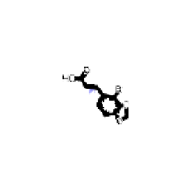 O=C(O)/C=C/c1ccc2c(c1Br)OCO2